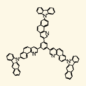 c1ccc2cc3c(cc2c1)c1ccccc1n3-c1ccc2c(ccc3cc(-c4cc(-c5cnc6c(ccc7cc(-n8c9ccccc9c9ccccc98)ccc76)c5)cc(-c5cnc6c(ccc7cc(-n8c9ccccc9c9cc%10ccccc%10cc98)ccc76)c5)c4)cnc32)c1